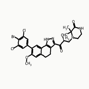 COc1cc2c(cc1-c1cc(Cl)c(Br)c(Cl)c1)-c1[nH]nc(C(=O)[C@@H](O)CN3CCNC(=O)C3(C)C)c1CC2